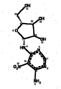 Nc1ncnc(N[C@@H]2O[C@H](CO)C(O)C2O)c1[N+](=O)[O-]